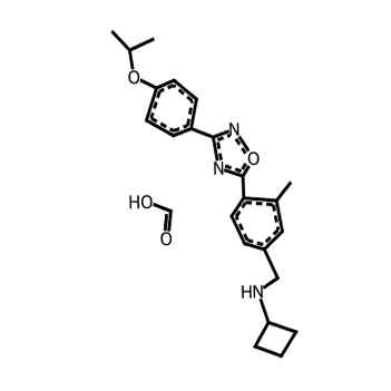 Cc1cc(CNC2CCC2)ccc1-c1nc(-c2ccc(OC(C)C)cc2)no1.O=CO